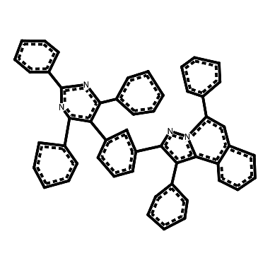 c1ccc(-c2nc(-c3ccccc3)c(-c3cccc(-c4nn5c(-c6ccccc6)cc6ccccc6c5c4-c4ccccc4)c3)c(-c3ccccc3)n2)cc1